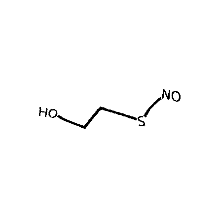 O=NSCCO